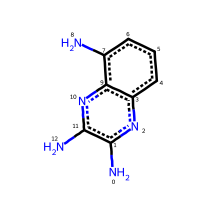 Nc1nc2cccc(N)c2nc1N